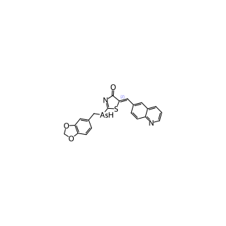 O=C1N=C([AsH]Cc2ccc3c(c2)OCO3)S/C1=C\c1ccc2ncccc2c1